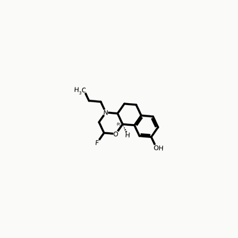 CCCN1CC(F)O[C@@H]2c3cc(O)ccc3CCC21